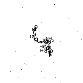 CN1C(=O)CC1COC(=O)N1CCC(CC#Cc2nc(N)c3ncn([C@@H]4O[C@H](C(=O)NC5CC5)C(O)[C@@H]4O)c3n2)CC1